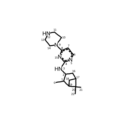 CC1C(Nc2nccc(N3CCNCC3)n2)CC2CC1C2(C)C